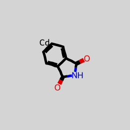 O=C1NC(=O)c2ccccc21.[Cd]